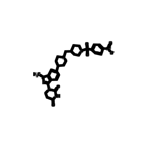 Cn1nc(N2CCC(=O)NC2=O)c2ccc(C3CCN(CC4CCN(S(=O)(=O)c5ccc([N+](=O)[O-])cc5)CC4)CC3)cc21